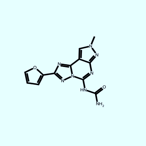 Cn1cc2c(nc(NC(N)=O)n3nc(-c4ccco4)nc23)n1